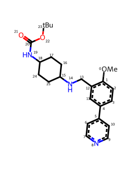 COc1ccc(-c2ccncc2)cc1CNC1CCC(NC(=O)OC(C)(C)C)CC1